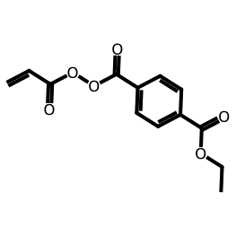 C=CC(=O)OOC(=O)c1ccc(C(=O)OCC)cc1